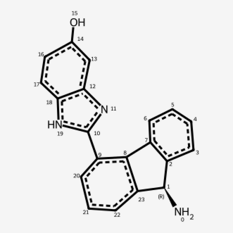 N[C@@H]1c2ccccc2-c2c(-c3nc4cc(O)ccc4[nH]3)cccc21